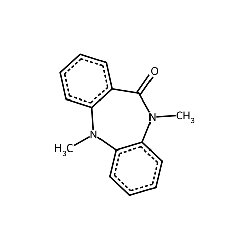 CN1C(=O)c2ccccc2N(C)c2ccccc21